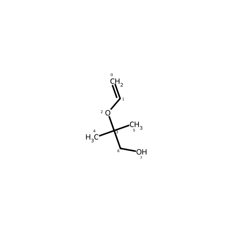 C=COC(C)(C)CO